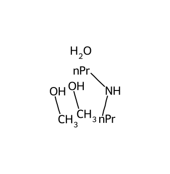 CCCNCCC.CO.CO.O